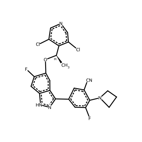 C[C@@H](Oc1cc2c(-c3cc(F)c(N4CCC4)c(C#N)c3)n[nH]c2cc1F)c1c(Cl)cncc1Cl